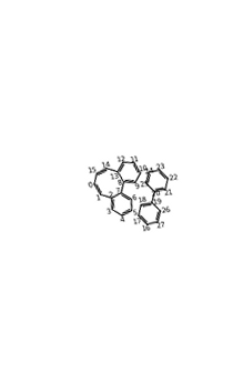 C1=Cc2ccccc2-c2ccccc2C=C1.c1ccc(-c2ccccc2)cc1